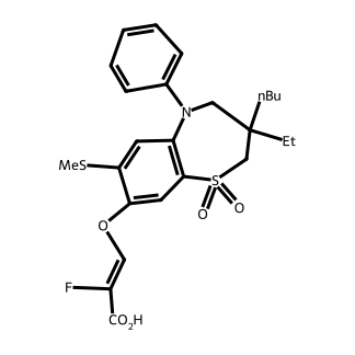 CCCCC1(CC)CN(c2ccccc2)c2cc(SC)c(OC=C(F)C(=O)O)cc2S(=O)(=O)C1